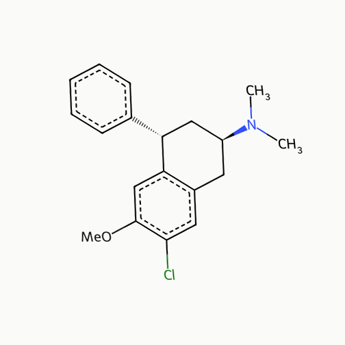 COc1cc2c(cc1Cl)C[C@H](N(C)C)C[C@H]2c1ccccc1